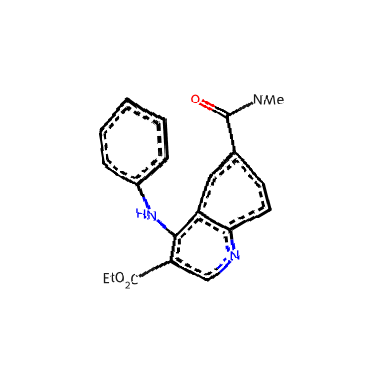 CCOC(=O)c1cnc2ccc(C(=O)NC)cc2c1Nc1ccccc1